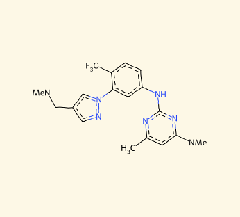 CNCc1cnn(-c2cc(Nc3nc(C)cc(NC)n3)ccc2C(F)(F)F)c1